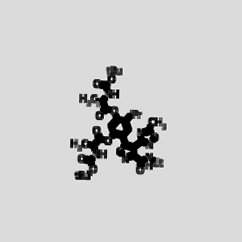 CCNC(=O)c1noc(-c2cc(C(C)C)c(OC(=O)[C@H](C)NC(=O)OC(C)(C)C)cc2OC(=O)C(C)NC(=O)OC(C)(C)C)c1-c1noc(C)n1